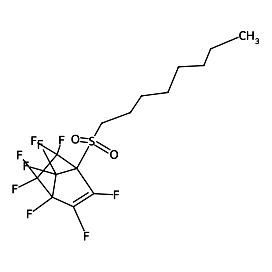 CCCCCCCCS(=O)(=O)C12C(F)=C(F)C(F)(C(F)(F)C1(F)F)C2(F)F